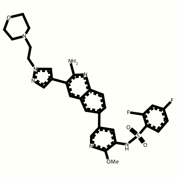 COc1ncc(-c2ccc3nc(N)c(-c4cnn(CCN5CCOCC5)c4)cc3c2)cc1NS(=O)(=O)c1ccc(F)cc1F